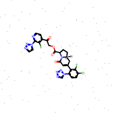 O=C(COC(=O)C1CC[C@@H]2CC(c3c(-n4cnnn4)ccc(Cl)c3F)=CC(=O)N12)c1ccnc(-n2ccnn2)c1F